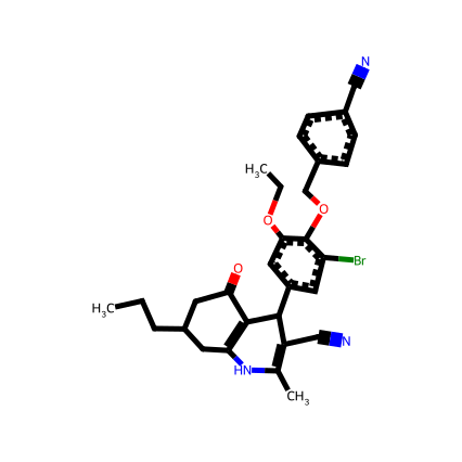 CCCC1CC(=O)C2=C(C1)NC(C)=C(C#N)C2c1cc(Br)c(OCc2ccc(C#N)cc2)c(OCC)c1